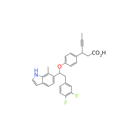 CC#CC(CC(=O)O)c1ccc(OC(Cc2ccc(F)c(F)c2)c2ccc3cc[nH]c3c2C)cc1